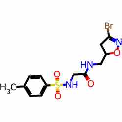 Cc1ccc(S(=O)(=O)NCC(=O)NCC2CC(Br)=NO2)cc1